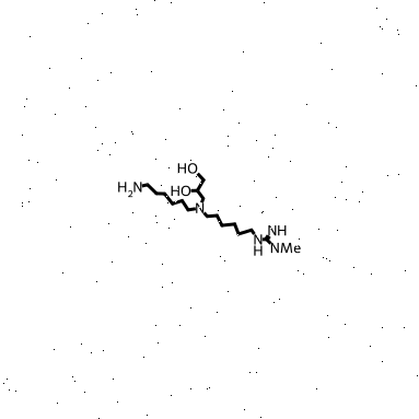 CNC(=N)NCCCCCCN(CCCCCCN)CC(O)CO